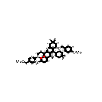 COCc1cnc(N2CCC(c3nc4c(c(C5CCC(F)(F)CC5)c3[C@@H](F)c3ccc(C(F)(F)F)cc3)[C@@H](OCc3ccc(OC)cc3)CC(C)(C)C4)CC2)nc1